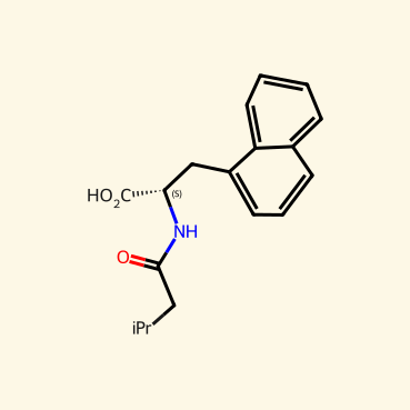 CC(C)CC(=O)N[C@@H](Cc1cccc2ccccc12)C(=O)O